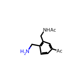 CC(=O)NCc1cc(C(C)=O)ccc1CN